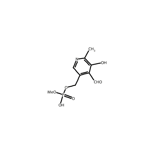 COP(=O)(O)OCc1cnc(C)c(O)c1C=O